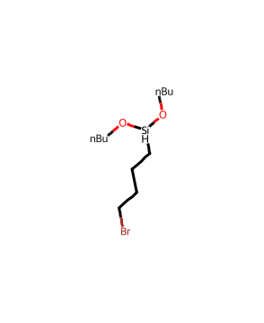 CCCCO[SiH](CCCCBr)OCCCC